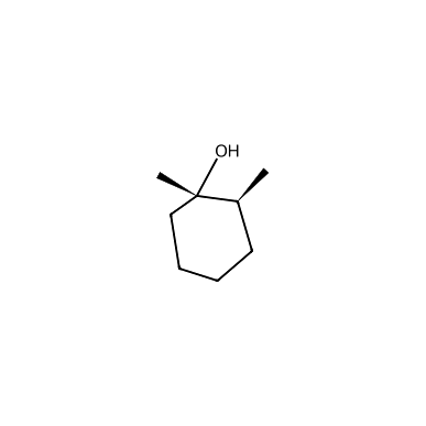 C[C@H]1CCCC[C@]1(C)O